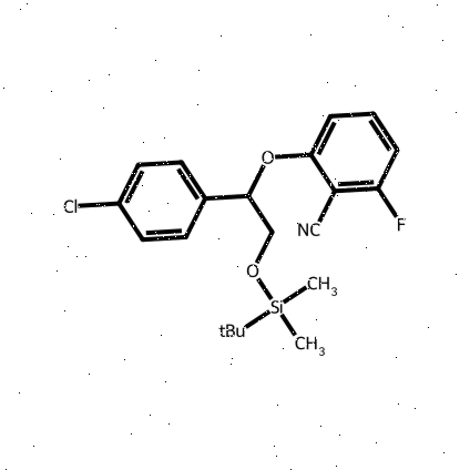 CC(C)(C)[Si](C)(C)OCC(Oc1cccc(F)c1C#N)c1ccc(Cl)cc1